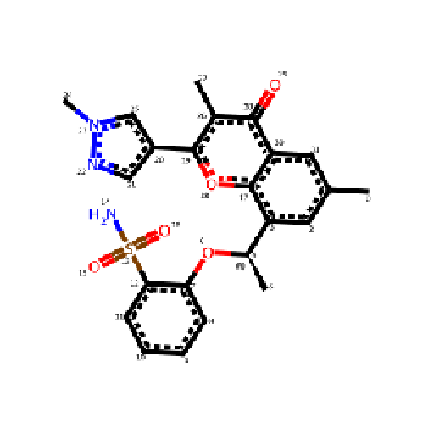 Cc1cc([C@@H](C)Oc2ccccc2S(N)(=O)=O)c2oc(-c3cnn(C)c3)c(C)c(=O)c2c1